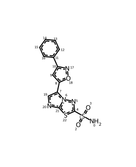 NS(=O)(=O)c1nn2c(-c3cc(-c4ccccc4)no3)cnc2s1